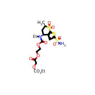 CCOC(=O)OCC(=O)OCCOC(=O)N(CC)[C@H]1C[C@H](C)S(=O)(=O)c2sc(S(N)(=O)=O)cc21